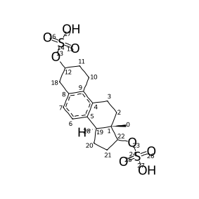 C[C@]12CCc3c(ccc4c3CCC(OS(=O)(=O)O)C4)[C@@H]1CCC2OS(=O)(=O)O